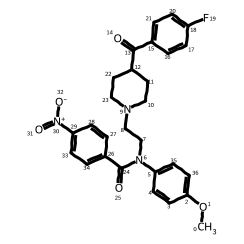 COc1ccc(N(CCN2CCC(C(=O)c3ccc(F)cc3)CC2)C(=O)c2ccc([N+](=O)[O-])cc2)cc1